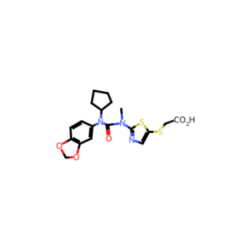 CN(C(=O)N(c1ccc2c(c1)OCO2)C1CCCC1)c1ncc(SCC(=O)O)s1